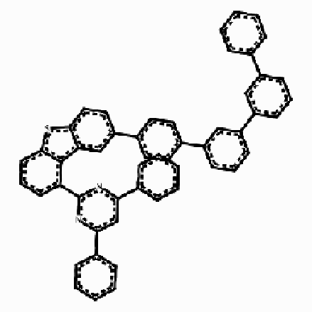 c1ccc(-c2cccc(-c3cccc(-c4ccc(-c5ccc6sc7cccc(-c8nc(-c9ccccc9)cc(-c9ccccc9)n8)c7c6c5)cc4)c3)c2)cc1